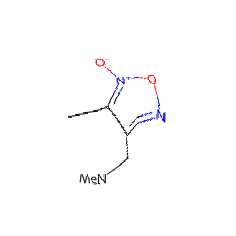 CNCc1no[n+]([O-])c1C